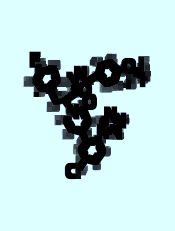 O=c1cc(-c2cc(Cl)ccc2-n2cnnn2)ccn1[C@@H](Cc1ccc(F)cc1)c1nnc(-c2ccc(OC(F)(F)F)cc2)o1